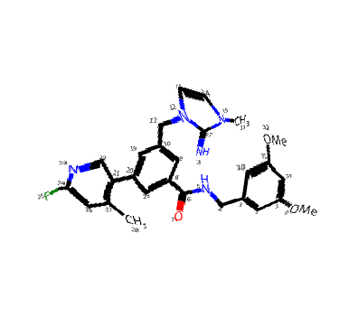 COc1cc(CNC(=O)c2cc(Cn3ccn(C)c3=N)cc(-c3cnc(F)cc3C)c2)cc(OC)c1